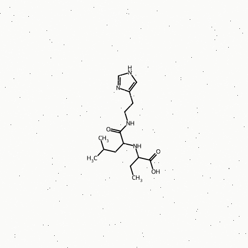 CCC(NC(CC(C)C)C(=O)NCCc1c[nH]cn1)C(=O)O